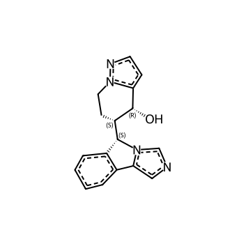 O[C@H]1c2ccnn2CC[C@H]1[C@H]1c2ccccc2-c2cncn21